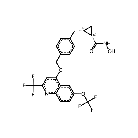 O=C(NO)[C@H]1C[C@H]1Cc1ccc(COc2cc(C(F)(F)F)nc3ccc(OC(F)(F)F)cc23)cc1